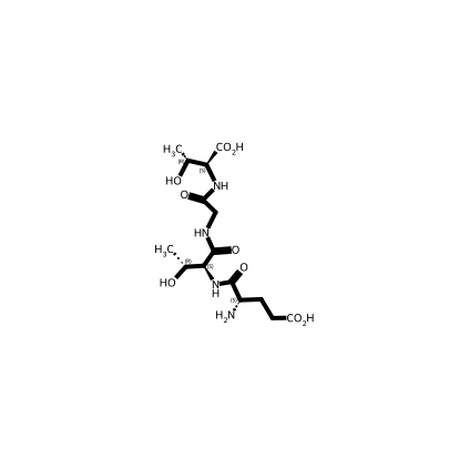 C[C@@H](O)[C@H](NC(=O)CNC(=O)[C@@H](NC(=O)[C@@H](N)CCC(=O)O)[C@@H](C)O)C(=O)O